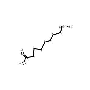 CCCCCCCCCCCCC([NH])=O